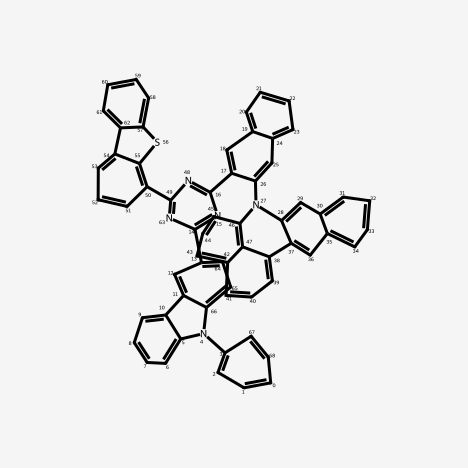 c1ccc(-n2c3ccccc3c3cc(-c4nc(-c5cc6ccccc6cc5N5c6cc7ccccc7cc6-c6cccc7cccc5c67)nc(-c5cccc6c5sc5ccccc56)n4)ccc32)cc1